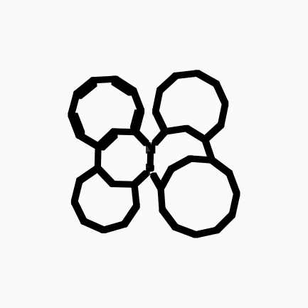 c1cccc2cc(ccc1)N1C3CCCCCCCC(C3)C3CCCCCCCC(CC3)P1C1CCCCCCC2C1